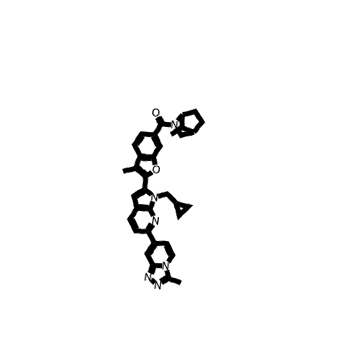 Cc1c(-c2cc3ccc(-c4ccn5c(C)nnc5c4)nc3n2CC2CC2)oc2cc(C(=O)N3CC4CCC3C4C)ccc12